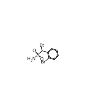 CCC(c1ccccc1Br)S(N)(=O)=O